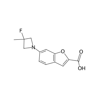 CC1(F)CN(c2ccc3cc(C(=O)O)oc3c2)C1